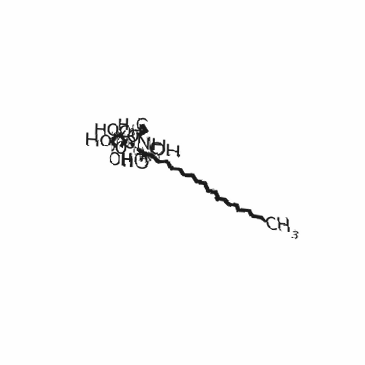 CCCCCCCCCCCCCCCCCCCC[C@@H](O)[C@@H](O)[C@H](CO[C@H]1O[C@H](CO)[C@H](O)[C@H](O)[C@H]1O)NC(=O)CC